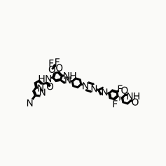 N#Cc1cnn2c(C(=O)Nc3cc4c(c5c3OC(F)(F)O5)NN(C3CCC(N5CCN(C6CN(c7cc(F)c([C@H]8CCC(=O)NC8=O)c(F)c7)C6)CC5)CC3)C4)ccc2c1